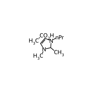 CC(=O)O.CCCN1C=CN(C)C1C